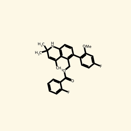 COc1cc(F)ccc1-c1ccc2c(c1COC(=O)c1ccccc1F)C(C)=CC(C)(C)N2